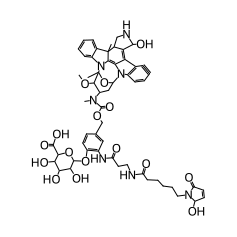 COC1C(N(C)C(=O)OCc2ccc(OC3OC(C(=O)O)C(O)C(O)C3O)c(NC(=O)CCNC(=O)CCCCCN3C(=O)C=CC3O)c2)CC2OC1(C)N1C3=c4c(c5c#cccc5n42)=C2C(O)NCC2C3(C)c2ccccc21